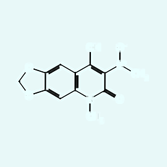 Cn1c(=O)c([S+](C)[O-])c(O)c2cc3c(cc21)OCO3